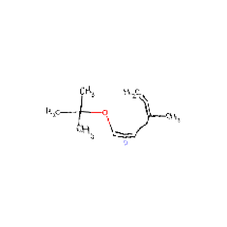 C=C(C)/C=C\OC(C)(C)C